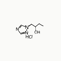 CCC(O)Cn1cncn1.Cl